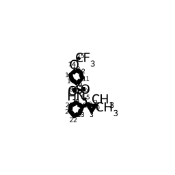 CC1(C)C[C@]1(CNS(=O)(=O)c1ccc(OC(F)(F)F)cc1)c1ccccc1